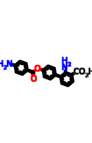 Nc1ccc(C(=O)Oc2ccc(-c3cccc(C(=O)O)c3N)cc2)cc1